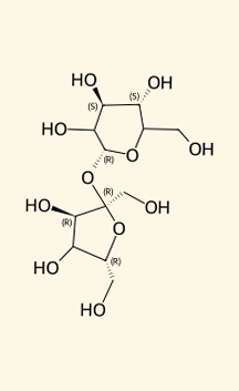 OCC1O[C@H](O[C@@]2(CO)O[C@H](CO)C(O)[C@H]2O)C(O)[C@@H](O)[C@@H]1O